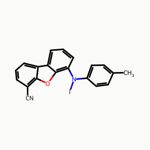 Cc1ccc(N(I)c2cccc3c2oc2c(C#N)cccc23)cc1